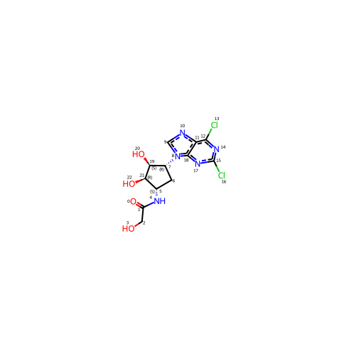 O=C(CO)N[C@H]1C[C@@H](n2cnc3c(Cl)nc(Cl)nc32)[C@H](O)[C@@H]1O